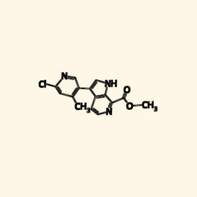 COC(=O)c1nccc2c(-c3cnc(Cl)cc3C)c[nH]c12